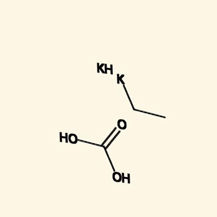 C[CH2][K].O=C(O)O.[KH]